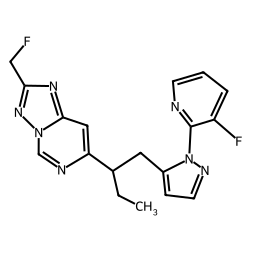 CCC(Cc1ccnn1-c1ncccc1F)c1cc2nc(CF)nn2cn1